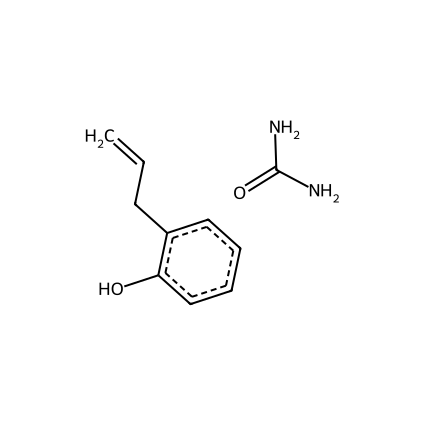 C=CCc1ccccc1O.NC(N)=O